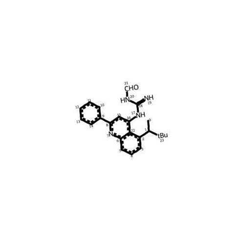 CC(c1cccc2nc(-c3ccccc3)cc(NC(=N)NC=O)c12)C(C)(C)C